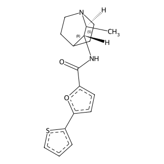 C[C@H]1[C@H](NC(=O)c2ccc(-c3cccs3)o2)C2CCN1CC2